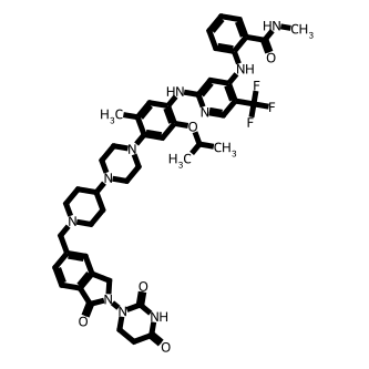 CNC(=O)c1ccccc1Nc1cc(Nc2cc(C)c(N3CCN(C4CCN(Cc5ccc6c(c5)CN(N5CCC(=O)NC5=O)C6=O)CC4)CC3)cc2OC(C)C)ncc1C(F)(F)F